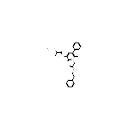 CNC(C)C(=O)Nc1cc(-c2ccccc2)c(C)n(CC(=O)NCCc2ccccc2)c1=O